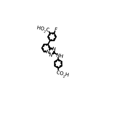 O=C(O)c1ccc(Nc2nc3c(-c4ccc(F)c(C(=O)O)c4)cccn3n2)cc1